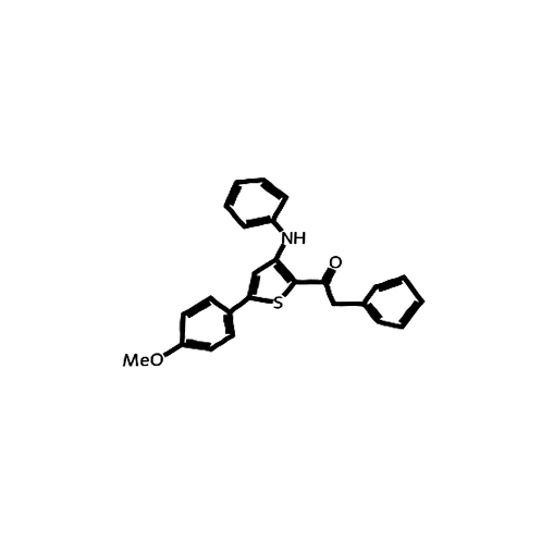 COc1ccc(-c2cc(Nc3ccccc3)c(C(=O)Cc3ccccc3)s2)cc1